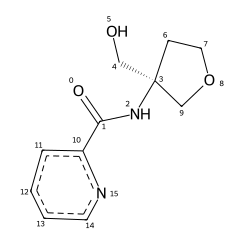 O=C(N[C@@]1(CO)CCOC1)c1ccccn1